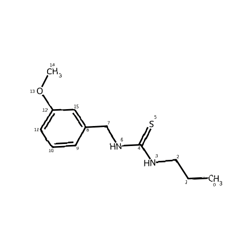 CCCNC(=S)NCc1cccc(OC)c1